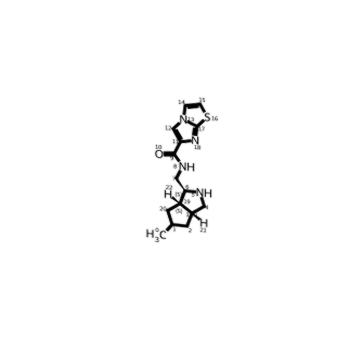 CC1C[C@H]2CN[C@H](CNC(=O)c3cn4ccsc4n3)[C@H]2C1